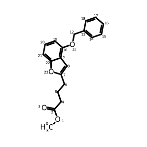 COC(=O)CCCc1cc2c(OCc3ccccc3)cccc2o1